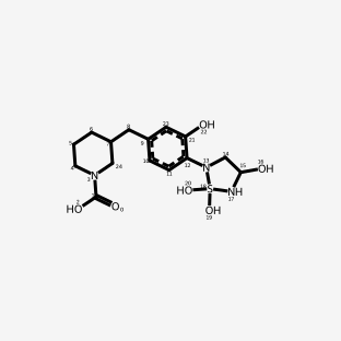 O=C(O)N1CCCC(Cc2ccc(N3CC(O)NS3(O)O)c(O)c2)C1